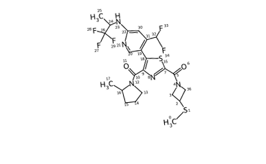 CSC1CN(C(=O)c2nc(C(=O)N3CCCC3C)c(-c3cnc(NC(C)C(F)(F)F)cc3C(F)F)s2)C1